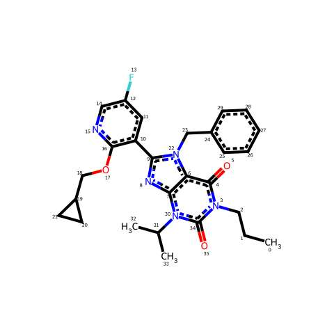 CCCn1c(=O)c2c(nc(-c3cc(F)cnc3OCC3CC3)n2Cc2ccccc2)n(C(C)C)c1=O